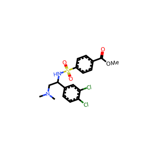 COC(=O)c1ccc(S(=O)(=O)NC(CN(C)C)c2ccc(Cl)c(Cl)c2)cc1